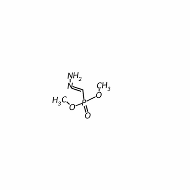 COP(=O)(C=NN)OC